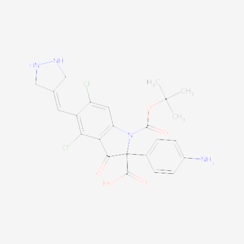 CC(C)(C)OC(=O)N1c2cc(Cl)c(C=C3CNNC3)c(Cl)c2C(=O)C1(C(=O)O)c1ccc(N)cc1